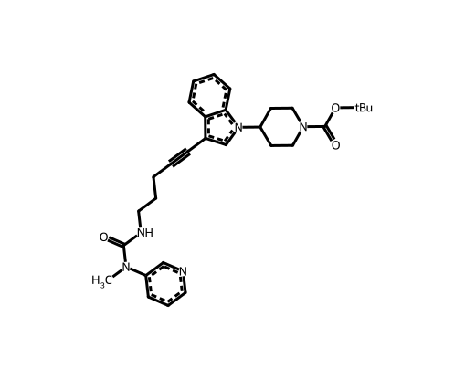 CN(C(=O)NCCCC#Cc1cn(C2CCN(C(=O)OC(C)(C)C)CC2)c2ccccc12)c1cccnc1